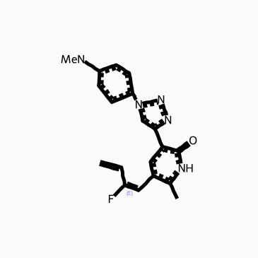 C=C/C(F)=C\c1cc(-c2cn(-c3ccc(NC)cc3)nn2)c(=O)[nH]c1C